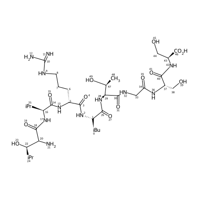 CC[C@H](C)[C@H](NC(=O)[C@@H](CCCNC(=N)N)NC(=O)[C@@H](NC(=O)C(N)[C@H](O)C(C)C)C(C)C)C(=O)N[C@H](C(=O)NCC(=O)N[C@@H](CO)C(=O)N[C@@H](CO)C(=O)O)[C@H](C)O